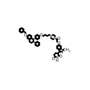 Cn1nc(C2CCC(=O)NC2=O)c2ccc(OCC(=O)N3CCN(CCCCOc4ccc([C@@H]5c6ccc(OCc7ccccc7)cc6CC[C@@H]5c5ccccc5)cc4)CC3)cc21